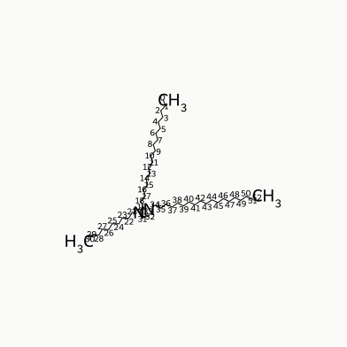 CCCCCCCCCCCCCCCCCCCc1n(CCCCCCCCCC)cc[n+]1CCCCCCCCCCCCCCCCCCC